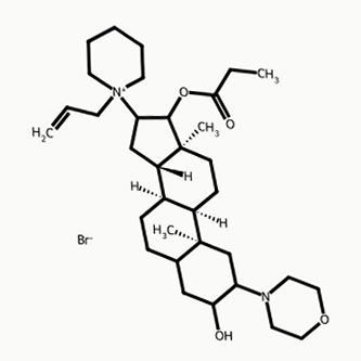 C=CC[N+]1(C2C[C@H]3[C@@H]4CCC5CC(O)C(N6CCOCC6)C[C@]5(C)[C@@H]4CC[C@]3(C)C2OC(=O)CC)CCCCC1.[Br-]